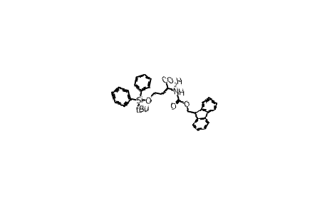 CC(C)(C)[Si](OCCC(NC(=O)OCC1c2ccccc2-c2ccccc21)C(=O)O)(c1ccccc1)c1ccccc1